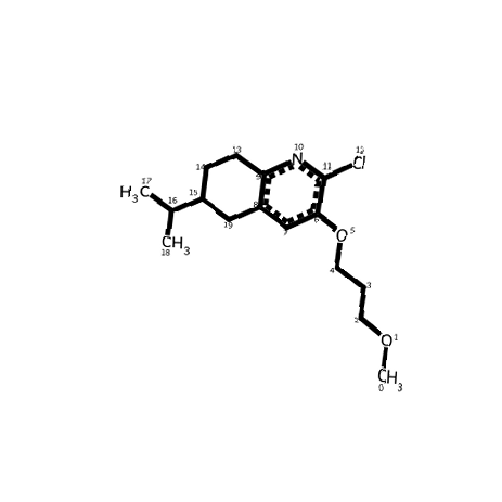 COCCCOc1cc2c(nc1Cl)CCC(C(C)C)C2